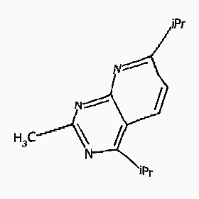 Cc1nc(C(C)C)c2ccc(C(C)C)nc2n1